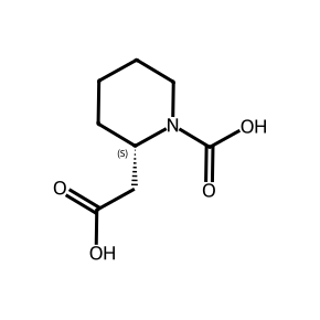 O=C(O)C[C@@H]1CCCCN1C(=O)O